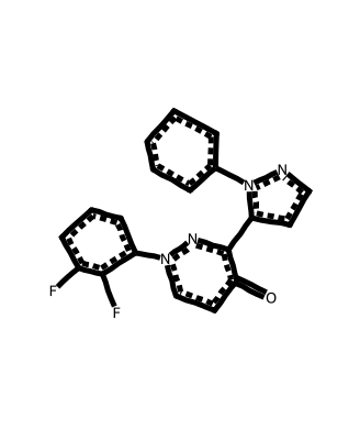 O=c1ccn(-c2cccc(F)c2F)nc1-c1ccnn1-c1ccccc1